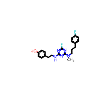 CN(CCCc1ccc(F)cc1)c1nc(F)nc(NCCc2ccc(O)cc2)n1